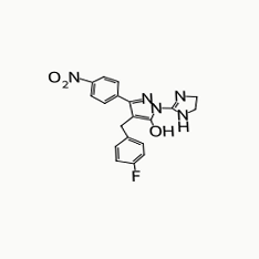 O=[N+]([O-])c1ccc(-c2nn(C3=NCCN3)c(O)c2Cc2ccc(F)cc2)cc1